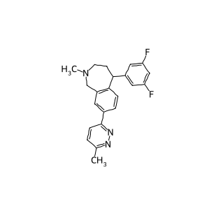 Cc1ccc(-c2ccc3c(c2)CN(C)CCC3c2cc(F)cc(F)c2)nn1